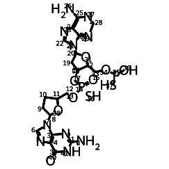 Nc1nc2c(ncn2C2CCC(COP(=O)(S)O[C@H]3CC(n4cnc5c(N)ncnc54)OC3COP(O)S)O2)c(=O)[nH]1